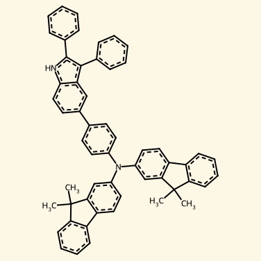 CC1(C)c2ccccc2-c2ccc(N(c3ccc(-c4ccc5[nH]c(-c6ccccc6)c(-c6ccccc6)c5c4)cc3)c3ccc4c(c3)C(C)(C)c3ccccc3-4)cc21